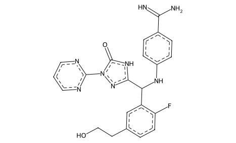 N=C(N)c1ccc(NC(c2nn(-c3ncccn3)c(=O)[nH]2)c2cc(CCO)ccc2F)cc1